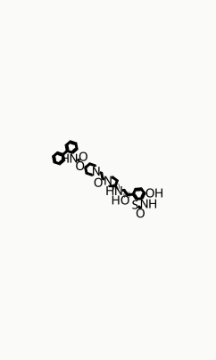 O=C(Nc1ccccc1-c1ccccc1)OC1CCN(CC(=O)N2CC[C@H](NC[C@H](O)c3ccc(O)c4[nH]c(=O)sc34)C2)CC1